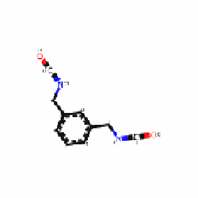 O=C=NCc1[c]ccc(CN=C=O)c1